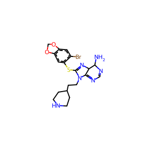 NC1N=CN=C2C1N=C(Sc1cc3c(cc1Br)OCO3)N2CCC1CCNCC1